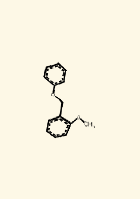 COc1ccccc1COc1cc[c]cc1